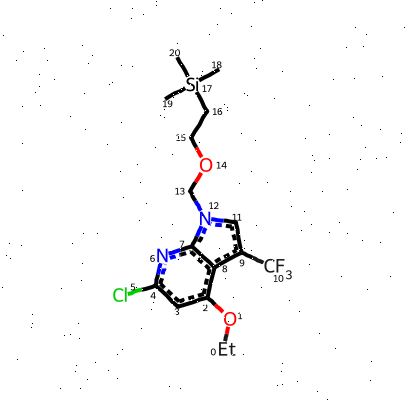 CCOc1cc(Cl)nc2c1c(C(F)(F)F)cn2COCC[Si](C)(C)C